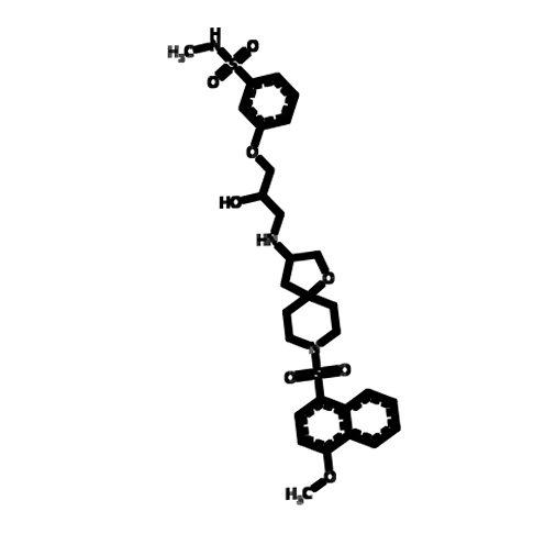 CNS(=O)(=O)c1cccc(OCC(O)CNC2COC3(CCN(S(=O)(=O)c4ccc(OC)c5ccccc45)CC3)C2)c1